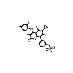 Cc1ccc(Nc2c(C)c(=O)oc3c(-c4cccc(CS(C)(=O)=O)c4)c(C)n(C4CC4)c(=O)c23)c(F)c1